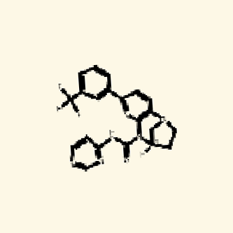 O=C(Nc1ccncn1)N1c2nc(-c3cccc(C(F)(F)F)c3)ccc2N2CC[C@H]1C2